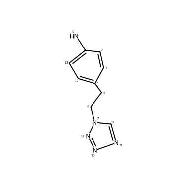 [NH]c1ccc(CCn2cnnn2)cc1